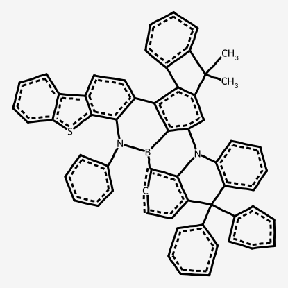 CC1(C)c2ccccc2-c2c1cc1c3c2-c2ccc4c(sc5ccccc54)c2N(c2ccccc2)B3c2cccc3c2N1c1ccccc1C3(c1ccccc1)c1ccccc1